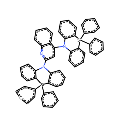 c1ccc([Si]2(c3ccccc3)c3ccccc3N(c3cc(N4c5ccccc5[Si](c5ccccc5)(c5ccccc5)c5ccccc54)c4ccccc4n3)c3ccccc32)cc1